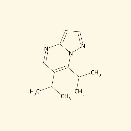 CC(C)c1cnc2ccnn2c1C(C)C